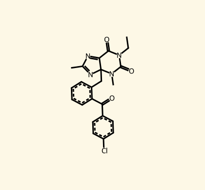 CCN1C(=O)C2=NC(C)=NC2(Cc2ccccc2C(=O)c2ccc(Cl)cc2)N(C)C1=O